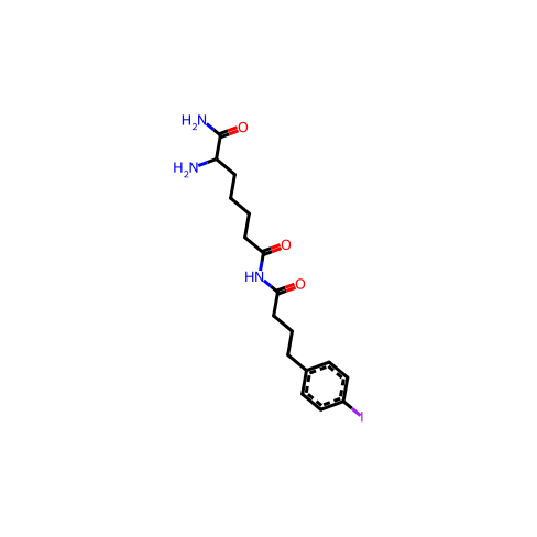 NC(=O)C(N)CCCCC(=O)NC(=O)CCCc1ccc(I)cc1